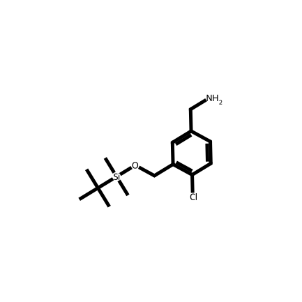 CC(C)(C)[Si](C)(C)OCc1cc(CN)ccc1Cl